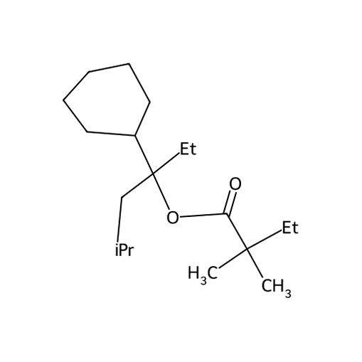 CCC(C)(C)C(=O)OC(CC)(CC(C)C)C1CCCCC1